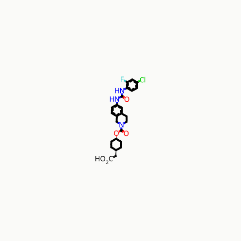 O=C(O)C[C@H]1CC[C@H](OC(=O)N2CCc3cc(NC(=O)Nc4ccc(Cl)cc4F)ccc3C2)CC1